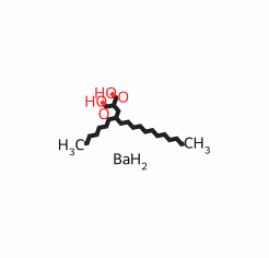 CCCCCCCCCCCCC(CCCCCCC)CC(C(=O)O)C(=O)O.[BaH2]